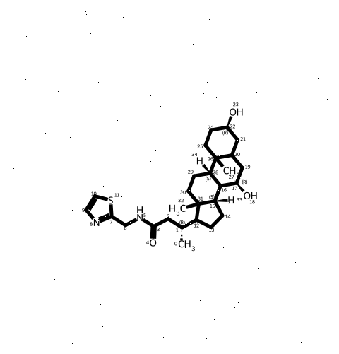 C[C@H](CC(=O)NCc1nccs1)C1CC[C@H]2C3[C@H](O)CC4C[C@H](O)CCC4(C)[C@H]3CCC12C